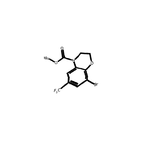 CC(C)(C)OC(=O)N1CCOc2c(Br)cc(C(F)(F)F)cc21